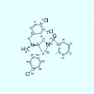 CN(Cc1ccc(Cl)c(Cl)c1)[C@H]1CN(C(=O)c2ccccc2)C[C@@H]1c1ccc(Cl)cc1